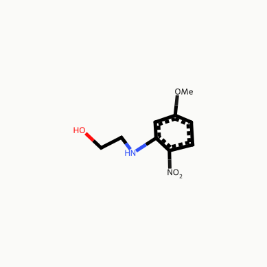 COc1ccc([N+](=O)[O-])c(NCCO)c1